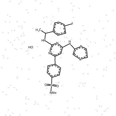 CNS(=O)(=O)c1ccc(-c2cc(Nc3cnccn3)nc(NC(C)c3ccc(F)cc3)n2)cc1.Cl